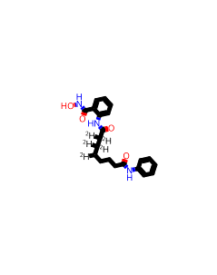 [2H]C(CCCC(=O)Nc1ccccc1)C([2H])([2H])C([2H])([2H])C(=O)Nc1ccccc1C(=O)NO